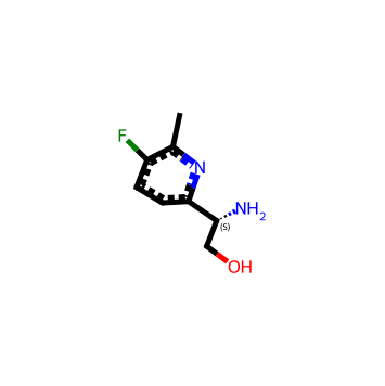 Cc1nc([C@H](N)CO)ccc1F